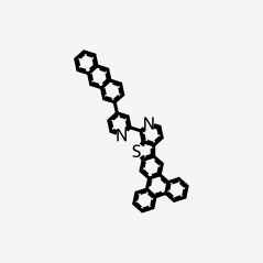 c1ccc2cc3cc(-c4ccnc(-c5nccc6c5sc5cc7c8ccccc8c8ccccc8c7cc56)c4)ccc3cc2c1